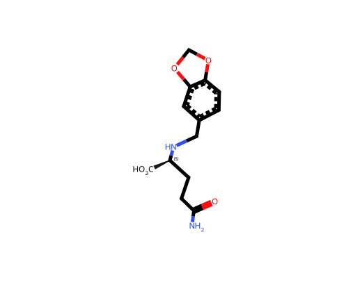 NC(=O)CC[C@H](NCc1ccc2c(c1)OCO2)C(=O)O